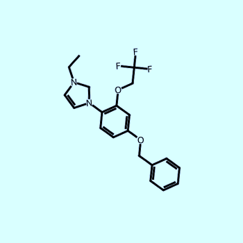 CCN1C=CN(c2ccc(OCc3ccccc3)cc2OCC(F)(F)F)C1